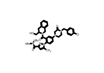 CCCCN(CCCC)C(=O)c1cc(C)n(-c2ccc(N3CCN(Cc4ccc(Cl)cc4)C(=O)C3)cc2C(=O)N2Cc3ccccc3CC2CO)n1